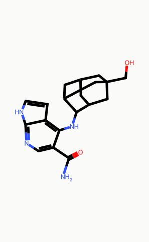 NC(=O)c1cnc2[nH]ccc2c1NC1C2CC3CC1CC(CO)(C3)C2